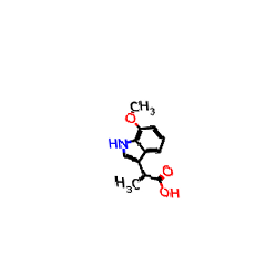 COc1cccc2c(C(C)C(=O)O)c[nH]c12